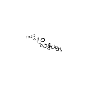 COc1ccc(S(=O)(=O)c2ccc(OC(CCCNCC(=O)O)c3ccccc3)cc2)cc1